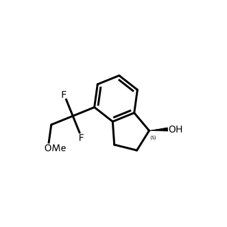 COCC(F)(F)c1cccc2c1CC[C@@H]2O